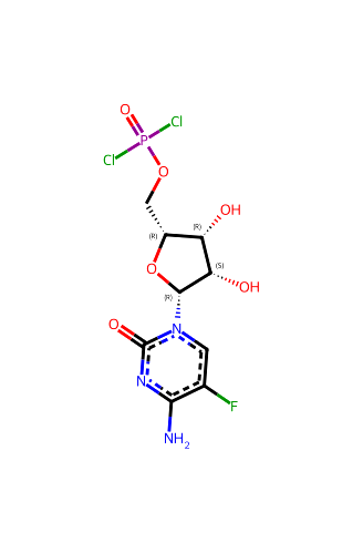 Nc1nc(=O)n([C@@H]2O[C@H](COP(=O)(Cl)Cl)[C@H](O)[C@@H]2O)cc1F